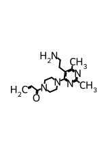 C=CC(=O)N1CCN(c2nc(C)nc(C)c2CCN)CC1